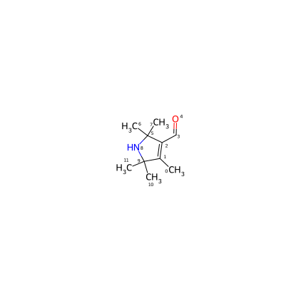 CC1=C(C=O)C(C)(C)NC1(C)C